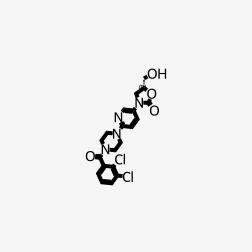 O=C(c1cccc(Cl)c1Cl)N1CCN(c2ccc(N3C[C@H](CO)OC3=O)cn2)CC1